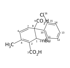 CCCCC1C(C(=O)O)=C(C)C=CC1(C(=O)O)c1ccccc1Cl